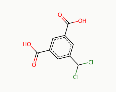 O=C(O)c1cc(C(=O)O)cc(C(Cl)Cl)c1